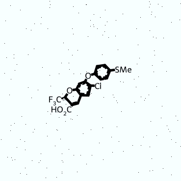 CSc1ccc(Oc2cc3c(cc2Cl)C=C(C(=O)O)[C@@H](C(F)(F)F)O3)cc1